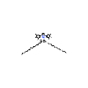 CCCCCCCCCCCCCCC[CH2][Pd][CH2]CCCCCCCCCCCCCCC.Cc1cc(C2=CC=C(c3cc(C)c(C)c(C)c3)[N+]2=[N-])cc(C)c1C